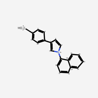 O=C(O)c1ccc(-c2ccn(-c3cccc4ccccc34)c2)cc1